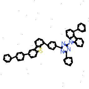 c1ccc(-c2ccc(-c3ccc4sc5c(-c6ccc(-c7nc(-c8ccccc8)nc(-n8c9ccccc9c9c(-c%10ccccc%10)cccc98)n7)cc6)cccc5c4c3)cc2)cc1